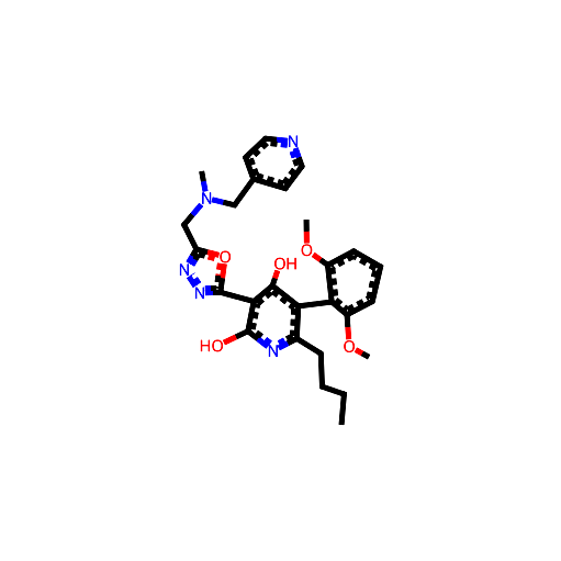 CCCCc1nc(O)c(-c2nnc(CN(C)Cc3ccncc3)o2)c(O)c1-c1c(OC)cccc1OC